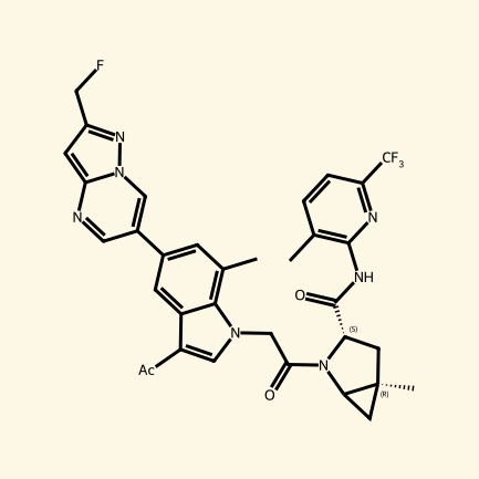 CC(=O)c1cn(CC(=O)N2C3C[C@]3(C)C[C@H]2C(=O)Nc2nc(C(F)(F)F)ccc2C)c2c(C)cc(-c3cnc4cc(CF)nn4c3)cc12